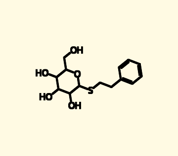 OCC1OC(SCCc2ccccc2)C(O)C(O)C1O